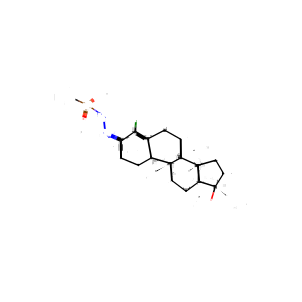 C[C@]12CC/C(=N/NS(C)(=O)=O)C(Cl)=C1CC[C@@H]1[C@@H]2CC[C@@]2(C)[C@H]1CC[C@]2(C)O